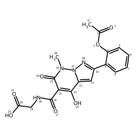 CC(=O)Oc1ccccc1-c1cc2c(O)c(C(=O)NCC(=O)O)c(=O)n(C)n2n1